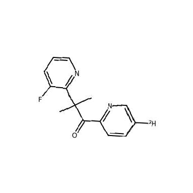 [2H]c1ccc(C(=O)C(C)(C)c2ncccc2F)nc1